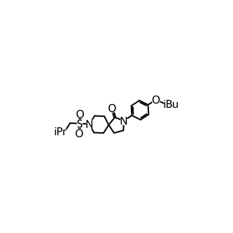 CCC(C)Oc1ccc(N2CCC3(CCN(S(=O)(=O)CC(C)C)CC3)C2=O)cc1